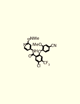 CNSc1cc(NC(=O)c2cc(Cl)c(C(F)(F)F)cc2Oc2ccc(C#N)cc2OC)ccn1